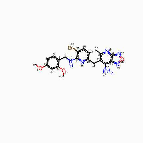 COc1ccc(CNc2nc(Cc3c(C)nc4nonc4c3N)ccc2Br)c(OC)c1